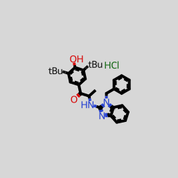 CC(Nc1nc2ccccc2n1Cc1ccccc1)C(=O)c1cc(C(C)(C)C)c(O)c(C(C)(C)C)c1.Cl